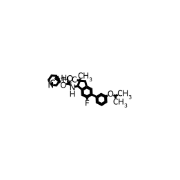 CC(C)Oc1cccc(-c2cc3c(cc2F)C(NC(=O)O[C@H]2CN4CCC2CC4)C(C)(C)C3)c1